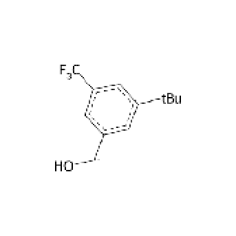 CC(C)(C)c1cc([CH]O)cc(C(F)(F)F)c1